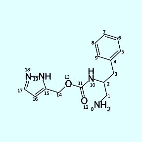 NCC(Cc1ccccc1)NC(=O)OCc1ccn[nH]1